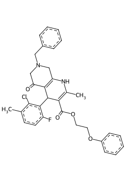 CC1=C(C(=O)OCCOc2ccccc2)C(c2c(F)ccc(C)c2Cl)C2=C(CN(Cc3ccccc3)CC2=O)N1